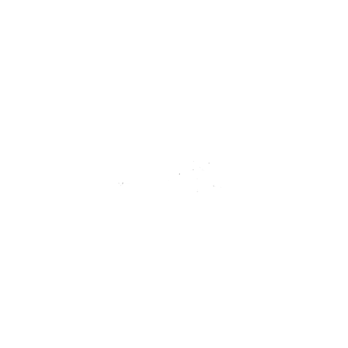 BC12C[C@H](CC)C3CCCCC3(C)[C@H]1CCC1(C)C(CCCOC)CCC12